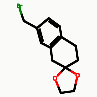 BrCc1ccc2c(c1)CC1(CC2)OCCO1